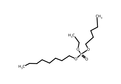 CCCCCCCCOP(=O)(OCC)OCCCCC